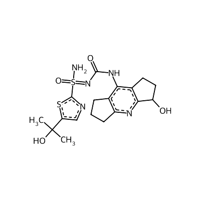 CC(C)(O)c1cnc(S(N)(=O)=NC(=O)Nc2c3c(nc4c2CCC4O)CCC3)s1